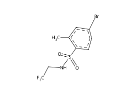 Cc1cc(Br)ccc1S(=O)(=O)NCC(F)(F)F